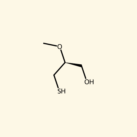 CO[C@@H](CO)CS